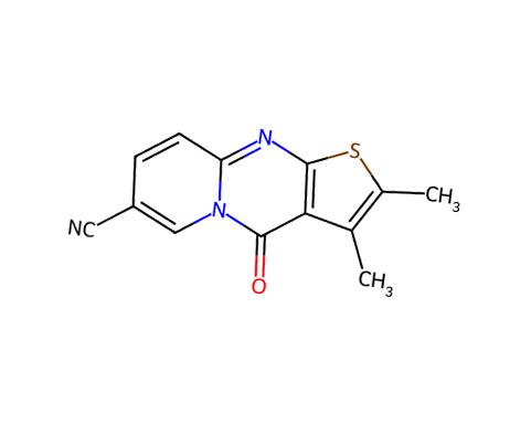 Cc1sc2nc3ccc(C#N)cn3c(=O)c2c1C